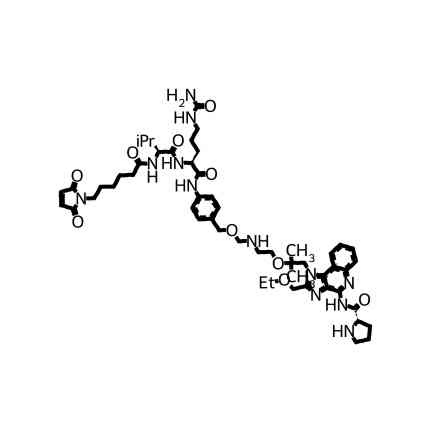 CCOCc1nc2c(NC(=O)[C@@H]3CCCN3)nc3ccccc3c2n1CC(C)(C)OCCNCOCc1ccc(NC(=O)[C@H](CCCNC(N)=O)NC(=O)[C@@H](NC(=O)CCCCCN2C(=O)C=CC2=O)C(C)C)cc1